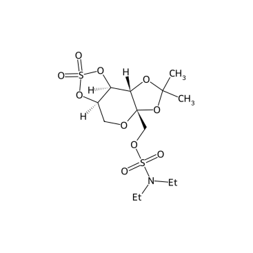 CCN(CC)S(=O)(=O)OC[C@@]12OC[C@H]3OS(=O)(=O)O[C@H]3[C@@H]1OC(C)(C)O2